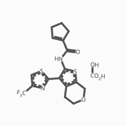 O=C(Nc1sc2c(c1-c1nc(C(F)(F)F)cs1)CCOC2)C1=CCCC1.O=C(O)O